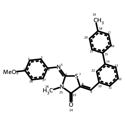 COc1ccc(/N=C2/S/C(=C\c3cccc(-c4ccc(C)cc4)c3)C(=O)N2C)cc1